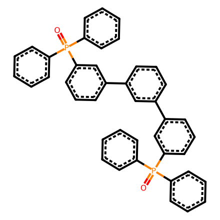 O=P(c1ccccc1)(c1ccccc1)c1cccc(-c2cccc(-c3cccc(P(=O)(c4ccccc4)c4ccccc4)c3)c2)c1